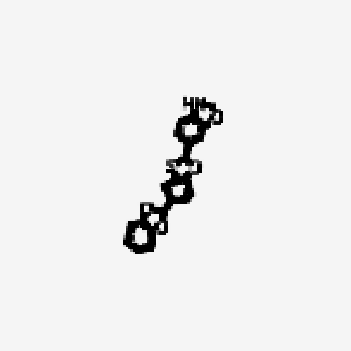 c1ccc2c(c1)OC(c1ccc3c(c1)SC(c1ccc4c(c1)OCN4)O3)O2